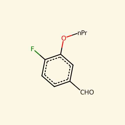 CCCOc1cc(C=O)ccc1F